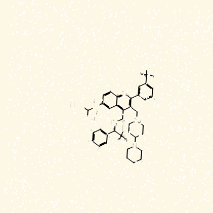 CC(C)S(=O)(=O)c1ccc2nc(-c3cccc(C(F)(F)F)c3)c(CN3CCC(N4CCCCC4)CC3)c(C(=O)NC(c3ccccc3)C(F)(F)F)c2c1